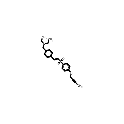 CC#CCOc1ccc(S(=O)(=O)C=Cc2ccc(CN(CC)CC)cc2)cc1